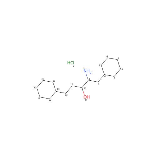 Cl.NC(CC1CCCCC1)C(O)CCC1CCCCC1